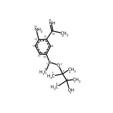 CB(OC(C)(C)C(C)(C)O)c1ccc(N)c(C(C)=N)c1